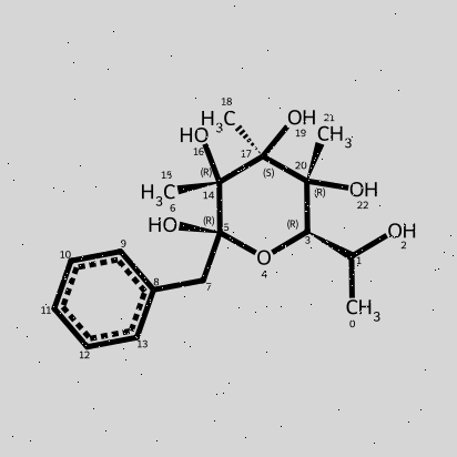 CC(O)[C@H]1O[C@](O)(Cc2ccccc2)[C@](C)(O)[C@@](C)(O)[C@]1(C)O